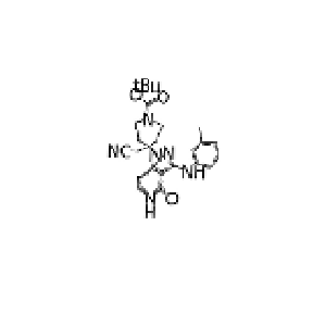 Cc1cccc(Nc2nn(C3(CC#N)CCN(C(=O)OC(C)(C)C)CC3)c3cc[nH]c(=O)c23)c1